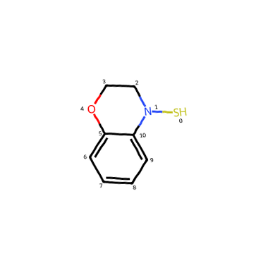 SN1CCOc2ccccc21